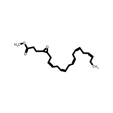 CC/C=C\C/C=C\C/C=C\C/C=C\C/C=C\CC1OC1CCC(=O)OC